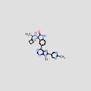 CCn1c(-c2cnc(C)nc2)nc2c(-c3ccc4c(c3)[C@](C)(N[C@H](C)C3CCC3)C(=O)N4)ncnc21